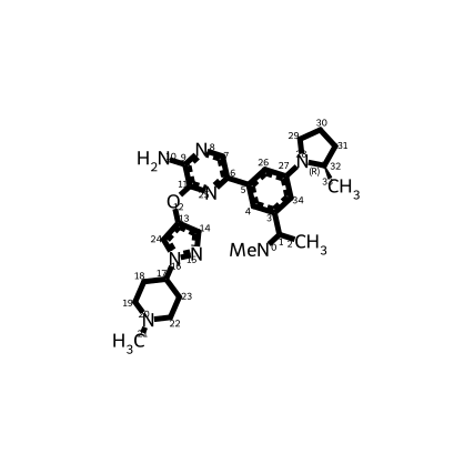 CNC(C)c1cc(-c2cnc(N)c(Oc3cnn(C4CCN(C)CC4)c3)n2)cc(N2CCC[C@H]2C)c1